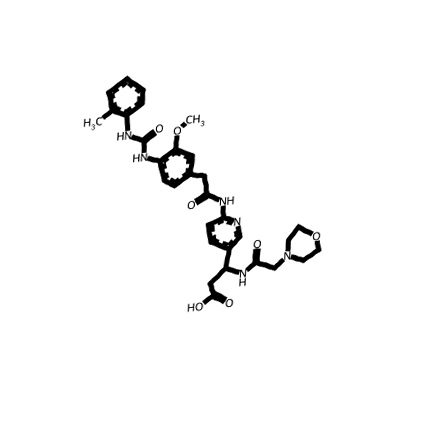 COc1cc(CC(=O)Nc2ccc(C(CC(=O)O)NC(=O)CN3CCOCC3)cn2)ccc1NC(=O)Nc1ccccc1C